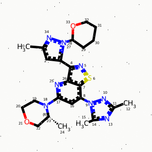 Cc1cc(-c2nsc3c(-n4nc(C)nc4C)cc(N4CCOC[C@H]4C)nc23)n(C2CCCCO2)n1